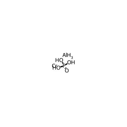 O=P(O)(O)O.[AlH3].[Cr]